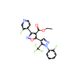 CCOC(=O)c1c(-c2ccncc2F)noc1-c1cnn(-c2ccccc2F)c1C(F)(F)F